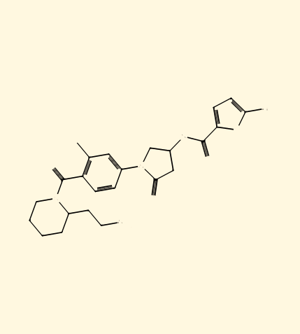 Cc1cc(N2CC(NC(=O)c3ccc(Br)s3)CC2=O)ccc1C(=O)N1CCCCC1CCN